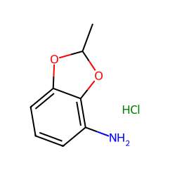 CC1Oc2cccc(N)c2O1.Cl